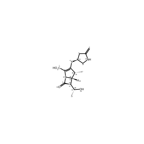 C=C1C[C@H](SC2=C(C(=O)O)N3C(=O)[C@H]([C@@H](C)O)[C@H]3[C@H]2C)CN1